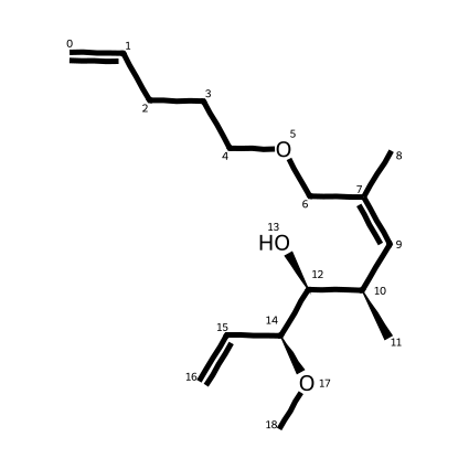 C=CCCCOC/C(C)=C\[C@@H](C)[C@H](O)[C@H](C=C)OC